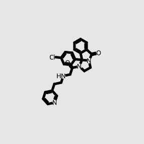 O=C(CNCCc1cccnc1)N1CCN2C(=O)c3ccccc3C12c1ccc(Cl)cc1